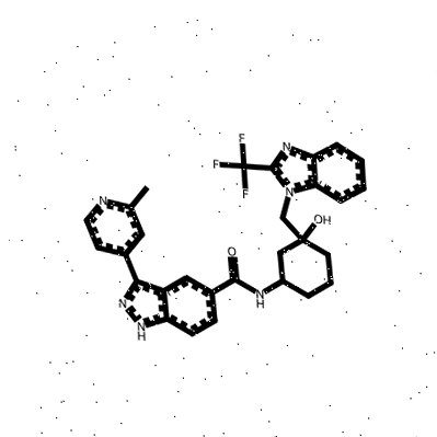 Cc1cc(-c2n[nH]c3ccc(C(=O)NC4CCCC(O)(Cn5c(C(F)(F)F)nc6ccccc65)C4)cc23)ccn1